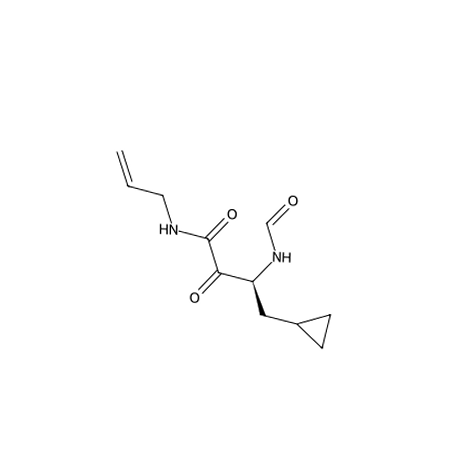 C=CCNC(=O)C(=O)[C@H](CC1CC1)NC=O